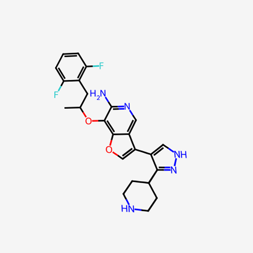 CC(Cc1c(F)cccc1F)Oc1c(N)ncc2c(-c3c[nH]nc3C3CCNCC3)coc12